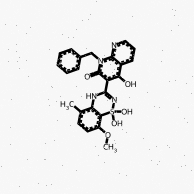 COc1ccc(C)c2c1S(O)(O)N=C(c1c(O)c3cccnc3n(Cc3ccccc3)c1=O)N2